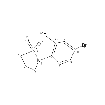 O=S1(=O)CCCN1c1ccc(Br)cc1F